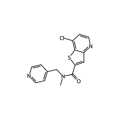 CN(Cc1ccncc1)C(=O)c1cc2nccc(Cl)c2s1